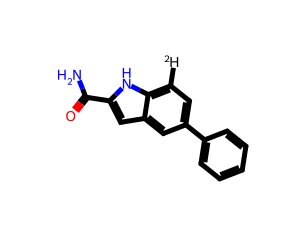 [2H]c1cc(-c2ccccc2)cc2cc(C(N)=O)[nH]c12